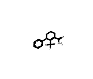 NC(=O)C1=C(C(F)(F)F)C(c2ccccc2)CCC1